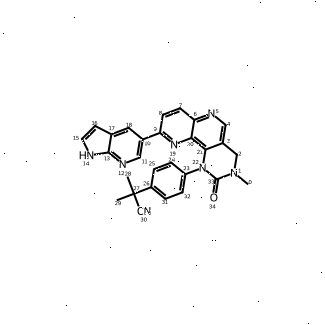 CN1Cc2cnc3ccc(-c4cnc5[nH]ccc5c4)nc3c2N(c2ccc(C(C)(C)C#N)cc2)C1=O